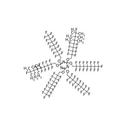 CC(C)(F)C(C)(C)C(C)(C)C(F)(F)C(F)(F)C(F)(F)C(F)(F)COP1(OCC(F)(F)C(F)(F)C(F)(F)C(F)(F)C(F)(F)C(F)(F)C(F)(F)F)=NP(OCC(F)(F)C(F)(F)C(F)(F)C(F)(F)C(C)(C)C(C)(C)C(C)(C)F)(OCC(F)(F)C(F)(F)C(F)(F)C(F)(F)C(F)(F)C(F)(F)C(F)(F)F)=NP(OCC(F)(F)C(F)(F)C(F)(F)C(F)(F)C(F)(F)C(F)(F)C(F)(F)F)(OCC(F)(F)C(F)(F)C(F)(F)C(F)(F)C(F)(F)C(F)(F)C(F)(F)F)=N1